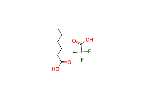 CCCCCC(=O)O.O=C(O)C(F)(F)F